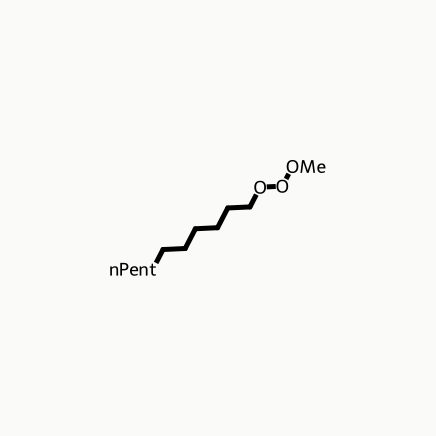 CCCCCCCCCCCOOOC